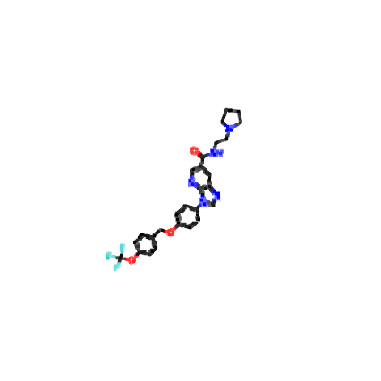 O=C(NCCN1CCCC1)c1cnc2c(c1)ncn2-c1ccc(OCc2ccc(OC(F)(F)F)cc2)cc1